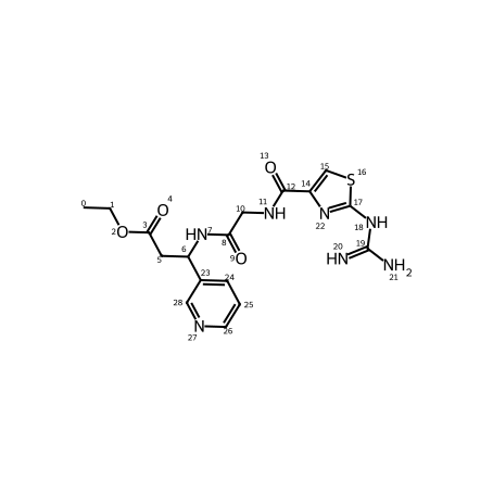 CCOC(=O)CC(NC(=O)CNC(=O)c1csc(NC(=N)N)n1)c1cccnc1